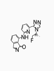 C[C@H](CF)n1cnnc1-c1cccc(Nc2cccc3c2C(=O)N=C3)n1